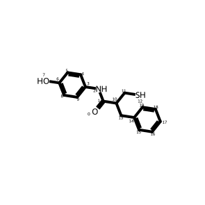 O=C(Nc1ccc(O)cc1)C(CS)Cc1ccccc1